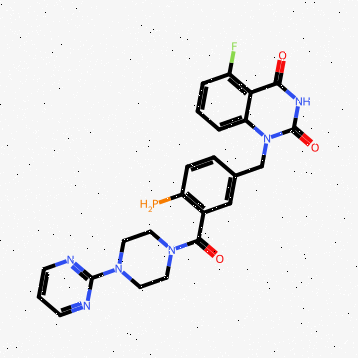 O=C(c1cc(Cn2c(=O)[nH]c(=O)c3c(F)cccc32)ccc1P)N1CCN(c2ncccn2)CC1